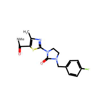 CNC(=O)c1sc(N2CCN(Cc3ccc(F)cc3)C2=O)nc1C